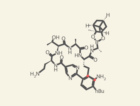 CCCCc1ccc(-c2ncc(C(=O)N[C@@H](CCN)C(=O)N[C@H](C(=O)N[C@@H](C)C(=O)N[C@@H](CCCCN)C(=O)N[C@@H](C)B3O[C@@H]4C[C@@H]5C[C@@H](C5(C)C)[C@]4(C)O3)[C@@H](C)O)cn2)cc1